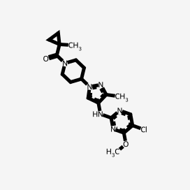 COc1nc(Nc2cn(C3CCN(C(=O)C4(C)CC4)CC3)nc2C)ncc1Cl